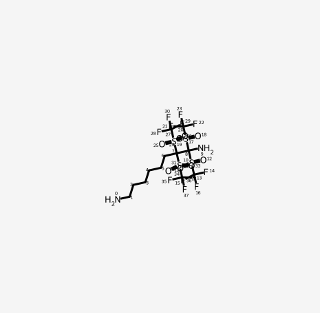 NCCCCCCC(C(N)(S(=O)(=O)C(F)(F)F)S(=O)(=O)C(F)(F)F)(S(=O)(=O)C(F)(F)F)S(=O)(=O)C(F)(F)F